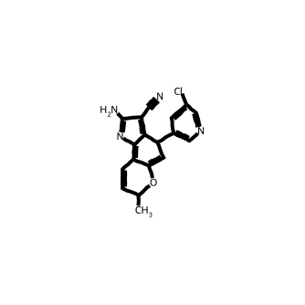 CC1C=CC2=C3N=C(N)C(C#N)=C3C(c3cncc(Cl)c3)C=C2O1